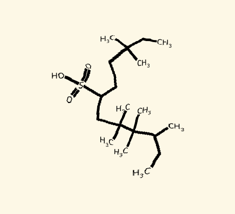 CCC(C)C(C)(C)C(C)(C)CC(CCC(C)(C)CC)S(=O)(=O)O